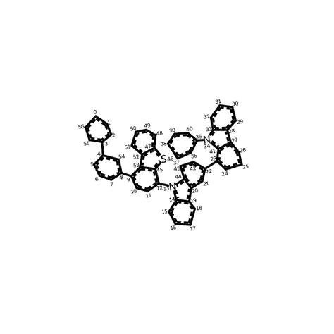 c1ccc(-c2cccc(-c3ccc(-n4c5ccccc5c5cc(-c6cccc7c8ccccc8n(-c8ccccc8)c67)ccc54)c4sc5ccccc5c34)c2)cc1